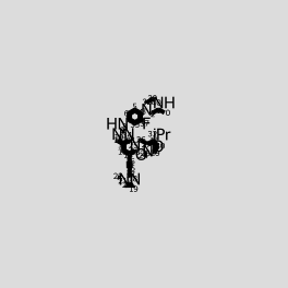 CC1CN(c2ccc(Nc3ncc4cc(C#Cc5nccn5C)c(=O)n(Cc5ncoc5C(C)C)c4n3)cc2F)CCN1